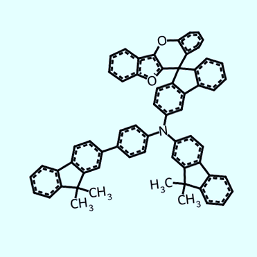 CC1(C)c2ccccc2-c2ccc(-c3ccc(N(c4ccc5c(c4)-c4ccccc4C54c5ccccc5Oc5c4oc4ccccc54)c4ccc5c(c4)C(C)(C)c4ccccc4-5)cc3)cc21